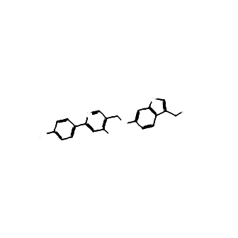 CCOC(=O)Cc1c[nH]c2cc(OCc3cnc(-c4ccc(C(F)(F)F)cc4)cc3C(F)(F)F)ccc12